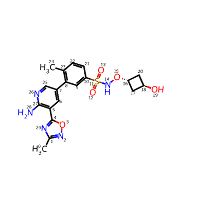 Cc1noc(-c2cc(-c3cc(S(=O)(=O)NO[C@H]4C[C@H](O)C4)ccc3C)cnc2N)n1